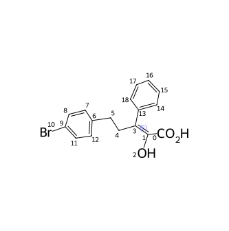 O=C(O)/C(O)=C(/CCc1ccc(Br)cc1)c1ccccc1